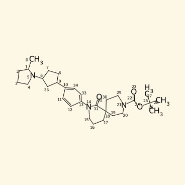 CC1CCCN1C1CCC(c2ccc(N3CCCC4(CCN(C(=O)OC(C)(C)C)CC4)C3=O)cc2)C1